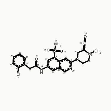 CN1CCN(c2cc3c(S(N)(=O)=O)cc(NC(=O)Cc4ccccc4Cl)cc3cn2)CC1=C=O